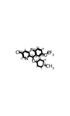 CN1CCC(OC(c2ccc(Cl)cn2)c2cc(OC(F)(F)F)ccc2F)CC1